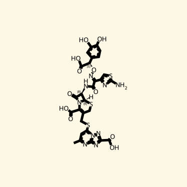 Cc1cc(SCC2=C(C(=O)O)N3C(=O)[C@@H](NC(=O)C(=NO[C@H](C(=O)O)c4ccc(O)c(O)c4)c4csc(N)n4)[C@H]3SC2)n2nc(C(=O)O)nc2n1